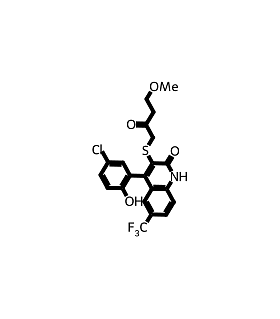 COCCC(=O)CSc1c(-c2cc(Cl)ccc2O)c2cc(C(F)(F)F)ccc2[nH]c1=O